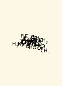 CC(=O)OC[C@@H](O)[C@H](OC(C)=O)[C@H](OC(C)=O)[C@](C=O)(OOc1ccc(N)cc1C(F)F)C(C)=O